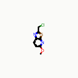 COc1ccc2nc(CCl)sc2n1